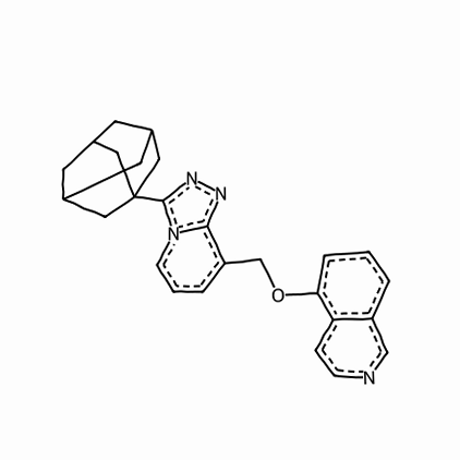 c1cc(OCc2cccn3c(C45CC6CC(CC(C6)C4)C5)nnc23)c2ccncc2c1